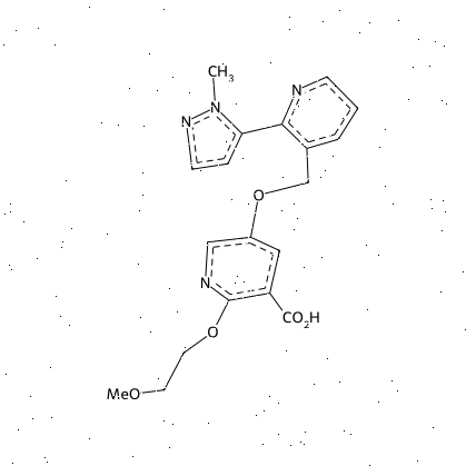 COCCOc1ncc(OCc2cccnc2-c2ccnn2C)cc1C(=O)O